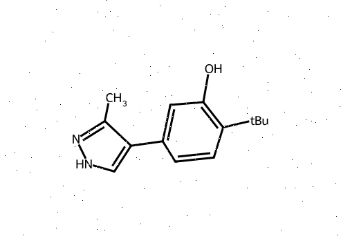 Cc1n[nH]cc1-c1ccc(C(C)(C)C)c(O)c1